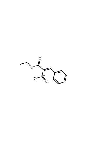 CCOC(=O)/C(=C/c1ccccc1)[N+](=O)[O-]